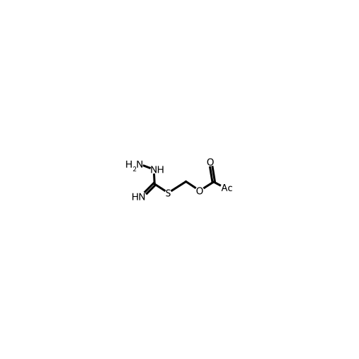 CC(=O)C(=O)OCSC(=N)NN